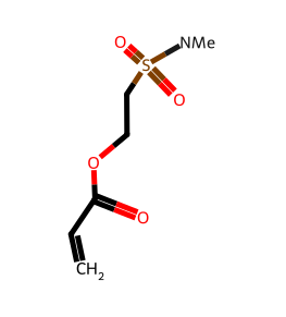 C=CC(=O)OCCS(=O)(=O)NC